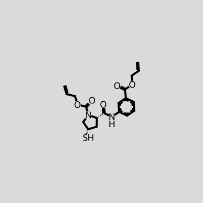 C=CCOC(=O)c1cccc(NC(=O)[C@@H]2C[C@H](S)CN2C(=O)OCC=C)c1